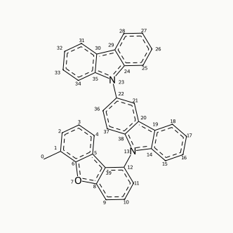 Cc1cccc2c1oc1cccc(-n3c4ccccc4c4cc(-n5c6ccccc6c6ccccc65)ccc43)c12